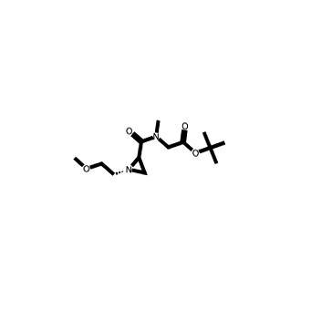 COCC[N@@]1CC1C(=O)N(C)CC(=O)OC(C)(C)C